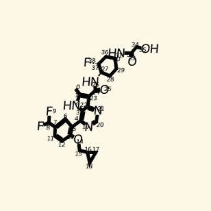 Cc1[nH]c2c(-c3cc(C(F)F)ccc3OCC3CC3)ncnc2c1C(=O)N[C@H]1CC[C@H](NC(=O)CO)C[C@H]1F